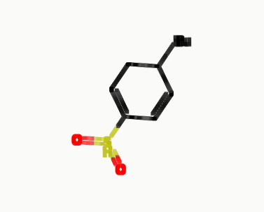 CCC(C)C1C=CC([SH](=O)=O)=CC1